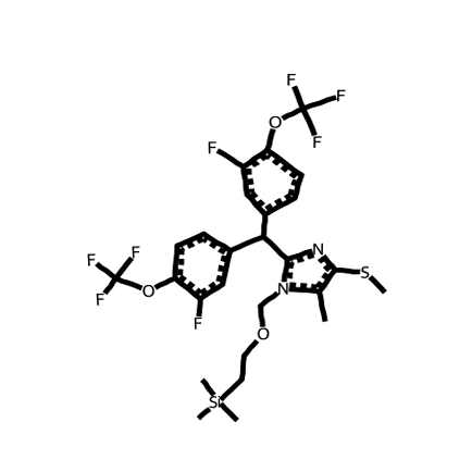 CSc1nc(C(c2ccc(OC(F)(F)F)c(F)c2)c2ccc(OC(F)(F)F)c(F)c2)n(COCC[Si](C)(C)C)c1C